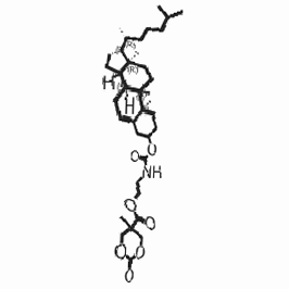 CC(C)CCC[C@@H](C)[C@H]1CC[C@H]2[C@@H]3CC=C4CC(OC(=O)NCCOC(=O)C5(C)COC(=O)OC5)CC[C@]4(C)[C@@]3(C)CC[C@]12C